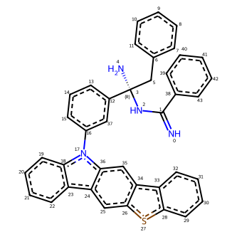 N=C(N[C@](N)(Cc1ccccc1)c1cccc(-n2c3ccccc3c3cc4sc5ccccc5c4cc32)c1)c1ccccc1